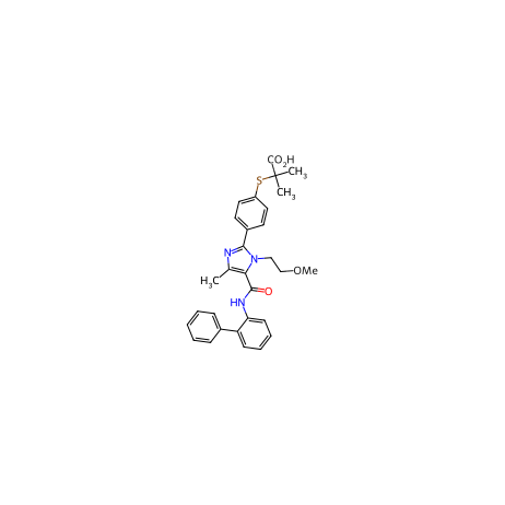 COCCn1c(-c2ccc(SC(C)(C)C(=O)O)cc2)nc(C)c1C(=O)Nc1ccccc1-c1ccccc1